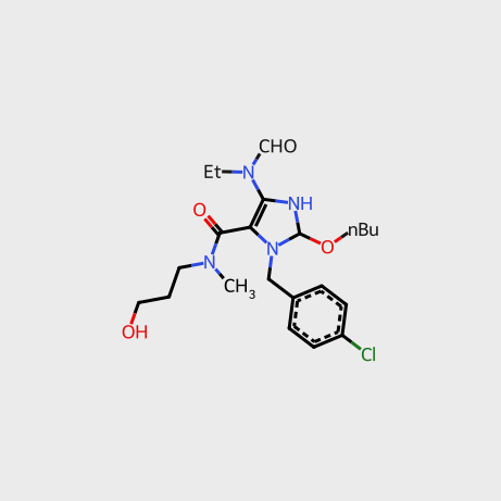 CCCCOC1NC(N(C=O)CC)=C(C(=O)N(C)CCCO)N1Cc1ccc(Cl)cc1